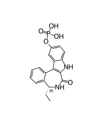 CC[C@H]1NC(=O)c2[nH]c3ccc(OP(=O)(O)O)cc3c2-c2ccccc21